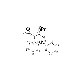 CCCC(CC1CO1)CN(C1CCCCC1)C1CCCCC1